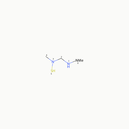 CNNCN(C)S